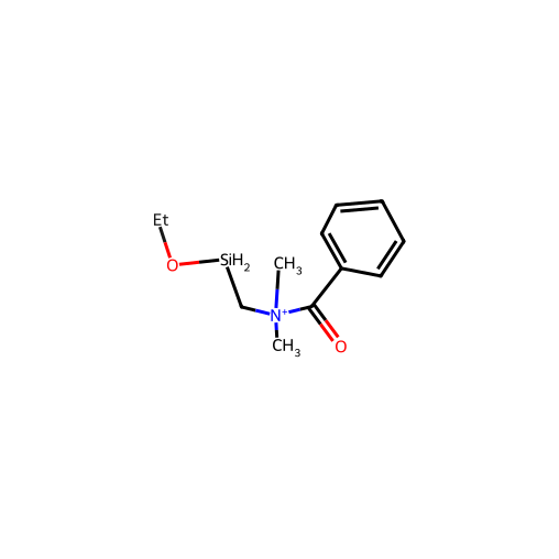 CCO[SiH2]C[N+](C)(C)C(=O)c1ccccc1